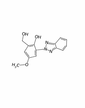 COc1cc(CO)c(O)c(-n2nc3ccccc3n2)c1